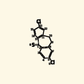 S=C1c2ccc(Cl)cc2CCc2cc(Cl)ccc21